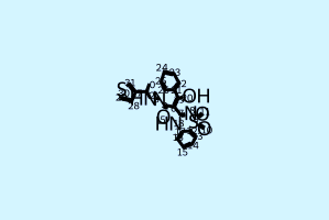 CC(Nn1c(=O)c(C2=NS(=O)(=O)c3ccccc3N2)c(O)c2ccccc21)c1ccsc1